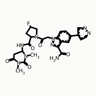 CN1C(=O)CC(NC(=O)C2CC(F)CN2C(=O)Cn2nc(C(N)=O)c3cc(-c4ccnnc4)ccc32)N(C)C1=O